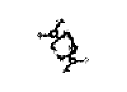 C[Si](C)(C)C#Cc1cc(C#C[Si](C)(C)C)cc(-c2c3nc(cc4ccc([nH]4)c(-c4cc(C#C[Si](C)(C)C)cc(C#C[Si](C)(C)C)c4)c4nc(cc5ccc2[nH]5)C=C4)C=C3)c1